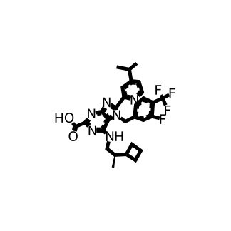 CC(C)c1ccnc(-c2nc3nc(C(=O)O)nc(NC[C@H](C)C4CCC4)c3n2Cc2ccc(C(F)(F)F)c(F)c2)c1